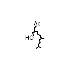 CC(=O)CCC(=CCO)CCC=C(C)CCC=C(C)C